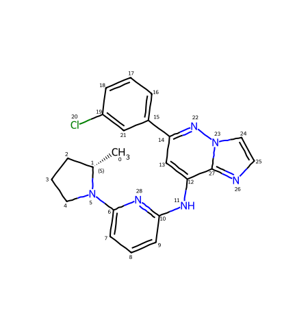 C[C@H]1CCCN1c1cccc(Nc2cc(-c3cccc(Cl)c3)nn3ccnc23)n1